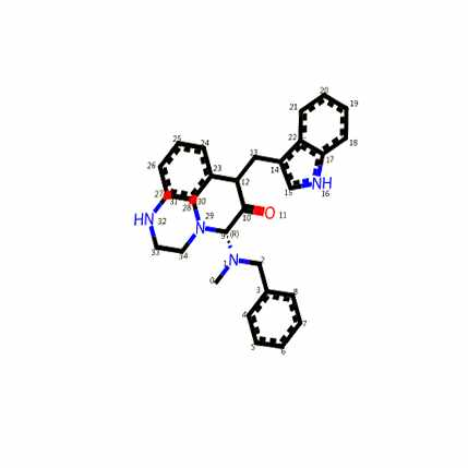 CN(Cc1ccccc1)[C@@H](C(=O)C(Cc1c[nH]c2ccccc12)c1ccccc1)N1CCNCC1